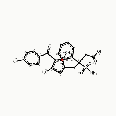 Cc1cc(CC(CC(=O)O)(c2ccccc2)S(N)(=O)=O)n(C)c1C(=O)c1ccc(Cl)cc1